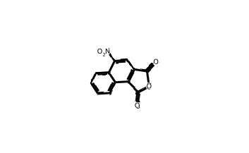 O=C1OC(=O)c2c1cc([N+](=O)[O-])c1ccccc21